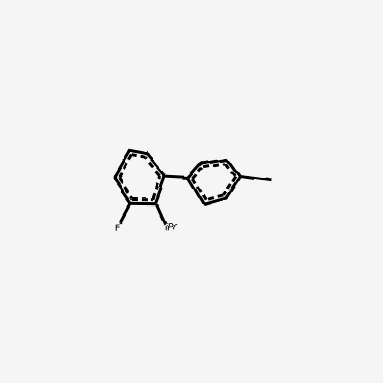 Cc1ccc(-c2[c]ccc(F)c2C(C)C)cc1